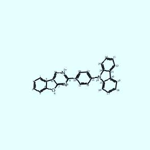 c1ccc2c(c1)oc1nc(-c3ccc(-n4c5ccccc5c5ccccc54)cc3)ncc12